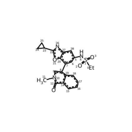 CCS(=O)(=O)Nc1cc(-c2cn(C)c(=O)c3ccccc23)c2oc(C3CC3)nc2c1